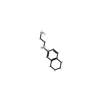 NCCNc1ccc2c(c1)CCCC2